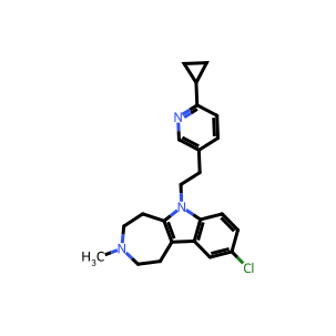 CN1CCc2c(n(CCc3ccc(C4CC4)nc3)c3ccc(Cl)cc23)CC1